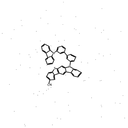 N#Cc1ccc2sc3cc4c(cc3c2c1)c1ccccc1n4-c1cccc(-c2cccc(-n3c4ccccc4c4ccccc43)c2)c1